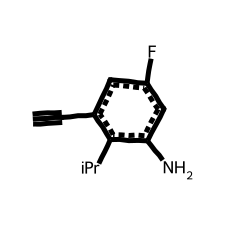 C#Cc1cc(F)cc(N)c1C(C)C